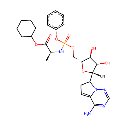 C[C@H](NP(=O)(OC[C@H]1O[C@@](C#N)(C2CC=C3C(N)=NC=NN32)[C@H](O)[C@@H]1O)Oc1ccccc1)C(=O)OC1CCCCC1